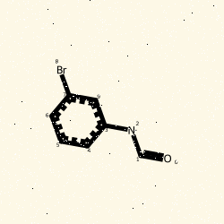 O=C[N]c1cccc(Br)c1